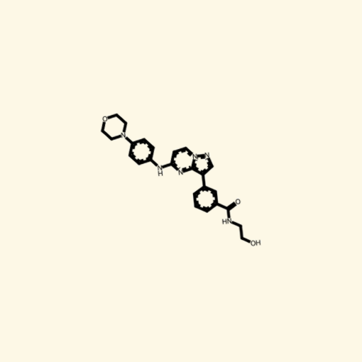 O=C(NCCO)c1cccc(-c2cnn3ccc(Nc4ccc(N5CCOCC5)cc4)nc23)c1